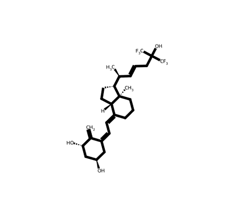 C=C1/C(=C\C=C2/CCC[C@]3(C)[C@@H]([C@@H](C)/C=C/CC(O)(C(F)(F)F)C(F)(F)F)CC[C@@H]23)C[C@@H](O)C[C@@H]1O